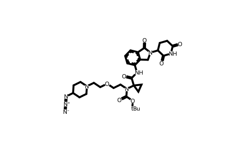 CC(C)(C)OC(=O)N(CCOCCN1CCC(N=[N+]=[N-])CC1)C1(C(=O)Nc2cccc3c2CN(C2CCC(=O)NC2=O)C3=O)CC1